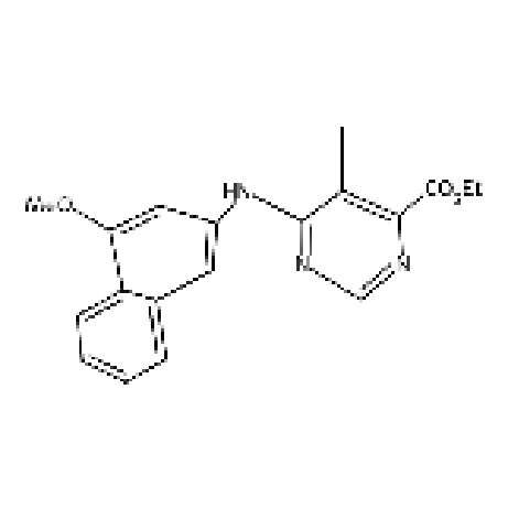 CCOC(=O)c1ncnc(Nc2cc(OC)c3ccccc3c2)c1C